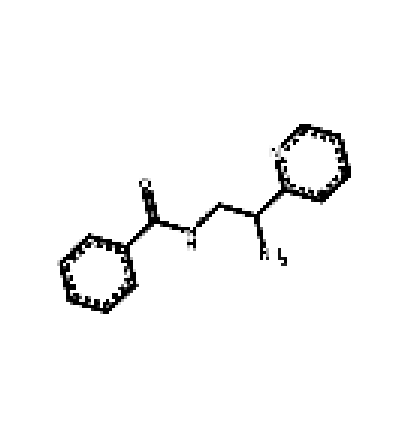 NC(CNC(=O)c1ccccc1)c1ccccn1